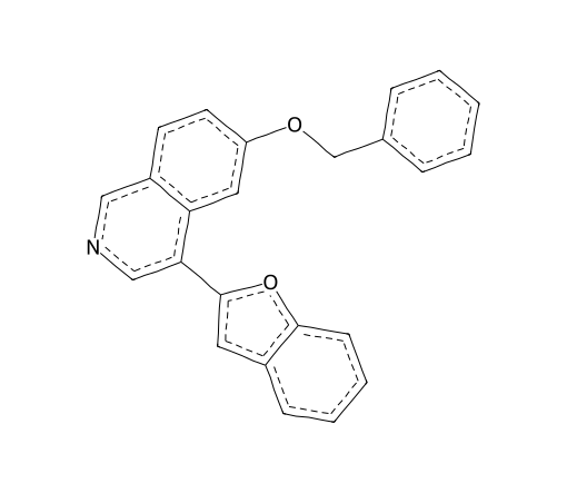 c1ccc(COc2ccc3cncc(-c4cc5ccccc5o4)c3c2)cc1